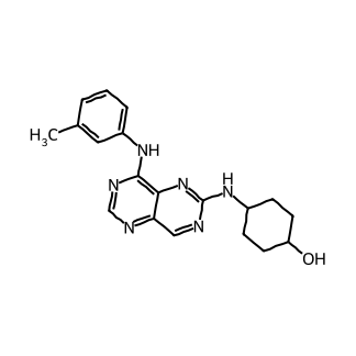 Cc1cccc(Nc2ncnc3cnc(NC4CCC(O)CC4)nc23)c1